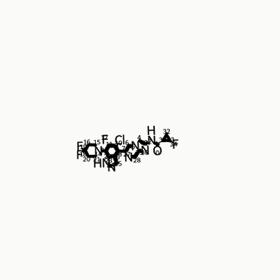 O=C(Nc1cn2cc(-c3c(Cl)c(F)c(N4CCC(F)(F)CC4)c4[nH]ncc34)ncc2n1)[C@@H]1C[C@@H]1F